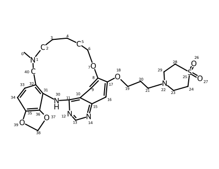 CN1CCCCCOc2cc3c(ncnc3cc2OCCCN2CCS(=O)(=O)CC2)Nc2c(ccc3c2OCO3)C1